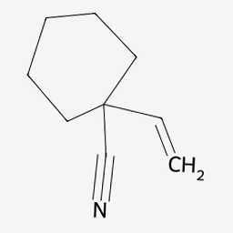 C=CC1(C#N)CCCCC1